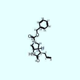 C=CC[C@H]1C(=O)NC2=CN(C(=O)OCc3ccccc3)C[C@@H]21